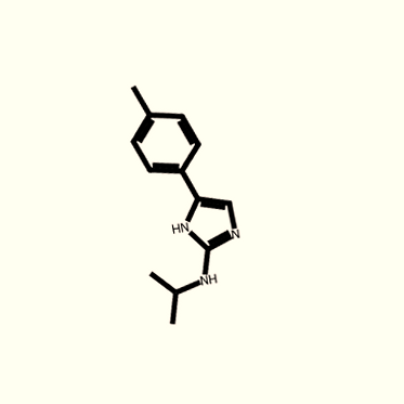 Cc1ccc(-c2cnc(NC(C)C)[nH]2)cc1